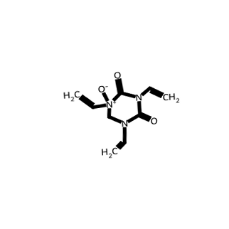 C=CN1C[N+]([O-])(C=C)C(=O)N(C=C)C1=O